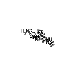 NC(=O)Cc1cccc(Nc2nccc(-c3c(-c4cccc(NC(=O)Cc5ccccc5)c4)nc4ccccn34)n2)c1